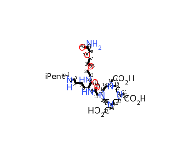 CCC[C@@H](C)CNCCCC[C@H](NC(=O)CN1CCN(CC(=O)O)CCN(CC(=O)O)CCN(CC(=O)O)CC1)C(=O)NCCOCCOCC(N)=O